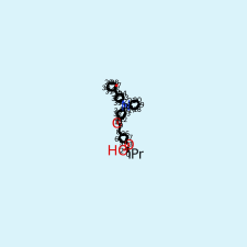 CC(C)C(O)Oc1ccc(CCOc2ccc(N(c3ccccc3)c3ccc(-c4ccccc4)cc3)cc2)cc1